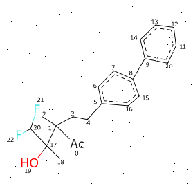 CC(=O)C(C)(CCc1ccc(-c2ccccc2)cc1)C(C)(O)C(F)F